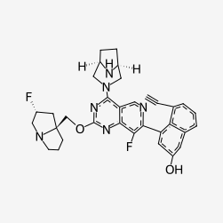 C#Cc1cccc2cc(O)cc(-c3ncc4c(N5C[C@H]6CC[C@@H](C5)N6)nc(OC[C@@]56CCCN5C[C@H](F)C6)nc4c3F)c12